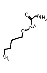 CCCCCONC(N)=O